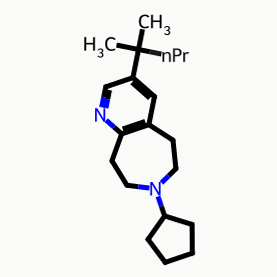 CCCC(C)(C)c1cnc2c(c1)CCN(C1CCCC1)CC2